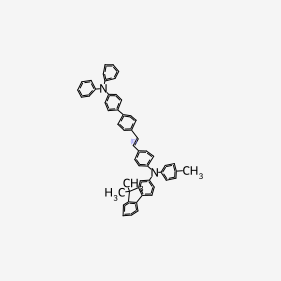 Cc1ccc(N(c2ccc(/C=C/c3ccc(-c4ccc(N(c5ccccc5)c5ccccc5)cc4)cc3)cc2)c2ccc3c(c2)C(C)(C)c2ccccc2-3)cc1